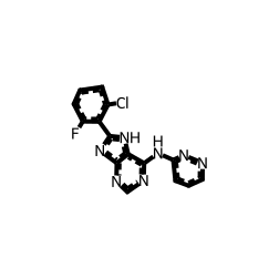 Fc1cccc(Cl)c1-c1nc2ncnc(Nc3cccnn3)c2[nH]1